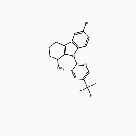 NC1CCCc2c1n(-c1ncc(C(F)(F)F)cn1)c1ccc(Br)cc21